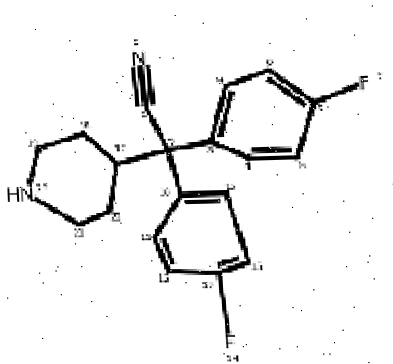 N#CC(c1ccc(F)cc1)(c1ccc(F)cc1)C1CCNCC1